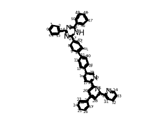 c1ccc(C2=NC(c3ccc(-c4ccc(-c5ccc(-c6cc(-c7ccccc7)cc(-c7ccccn7)n6)nc5)cc4)cc3)NC(c3ccccc3)=N2)cc1